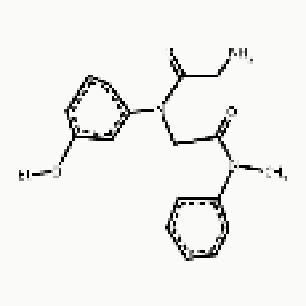 CCOc1cccc(N(CC(=O)N(C)c2ccccc2)C(=O)CN)c1